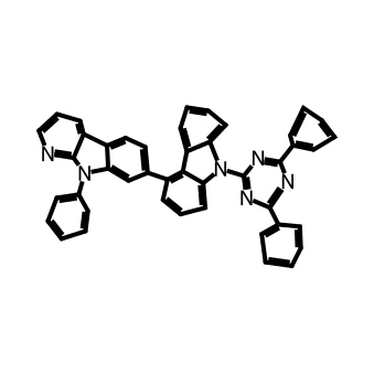 c1ccc(-c2nc(-c3ccccc3)nc(-n3c4ccccc4c4c(-c5ccc6c7cccnc7n(-c7ccccc7)c6c5)cccc43)n2)cc1